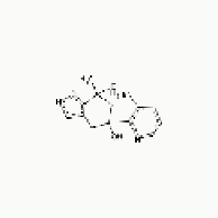 CC1(C)CC(O)(c2ncccc2Br)Cc2cnoc21